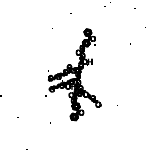 COCCCOCC(O)COCC(COCC(COC(=O)COCCOCCOC)OCC(O)COC(=O)COc1ccc(C(=O)c2ccccc2)cc1)OCC(COC(=O)COc1ccc(C(=O)c2ccccc2)cc1)OC(=O)COCCOCCOC